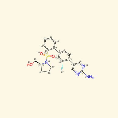 Nc1ncc(-c2ccc(-c3ccccc3S(=O)(=O)N3CCC[C@H]3CO)cc2F)cn1